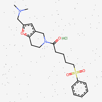 CN(C)Cc1cc2c(o1)CCN(C(=O)CCCCS(=O)(=O)c1ccccc1)C2.Cl